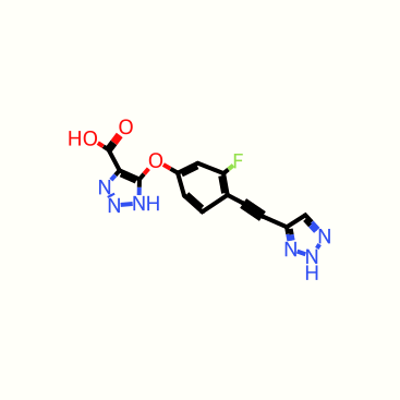 O=C(O)c1nn[nH]c1Oc1ccc(C#Cc2cn[nH]n2)c(F)c1